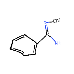 N#CN=C([NH])c1ccccc1